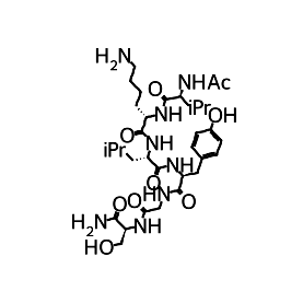 CC(=O)N[C@H](C(=O)N[C@@H](CCCCN)C(=O)N[C@@H](CC(C)C)C(=O)N[C@@H](Cc1ccc(O)cc1)C(=O)NCC(=O)N[C@@H](CO)C(N)=O)C(C)C